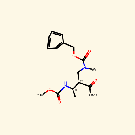 COC(=O)[C@H](CN(C(=O)OCc1ccccc1)C(C)C)[C@@H](C)NC(=O)OC(C)(C)C